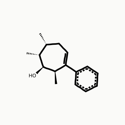 C[C@H]1[C@H](O)[C@H](C)C(c2ccccc2)=CC[C@H]1C